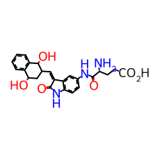 N[C@@H](CCC(=O)O)C(=O)Nc1ccc2c(c1)C(=CC1CC(O)c3ccccc3C1O)C(=O)N2